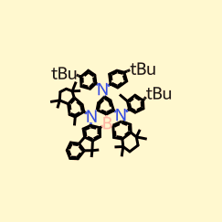 Cc1cc(C(C)(C)C)ccc1N1c2cc3c(cc2B2c4cc5c(cc4N(c4cc6c(cc4C)C(C)(C)CCC6(C)C)c4cc(N(c6ccc(C(C)(C)C)cc6)c6ccc(C(C)(C)C)cc6)cc1c42)-c1ccccc1C5(C)C)C(C)(C)CCC3(C)C